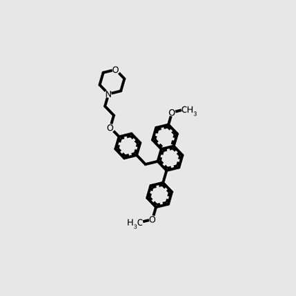 COc1ccc(-c2ccc3cc(OC)ccc3c2Cc2ccc(OCCN3CCOCC3)cc2)cc1